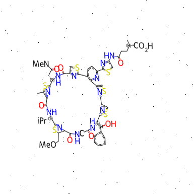 CNC(=O)C[C@@H]1NC(=O)c2csc(n2)-c2ccc(-c3nc(NC(=O)CC[C@@H](C)C(=O)O)cs3)nc2-c2csc(n2)-c2csc(n2)[C@H]([C@@H](O)c2ccccc2)NC(=O)CNC(=O)C2N=C(SC2COC)[C@H](C(C)C)NC(=O)c2nc1sc2C